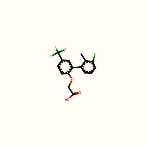 Cc1c(F)cccc1-c1cc(C(F)(F)F)ccc1OCC(=O)O